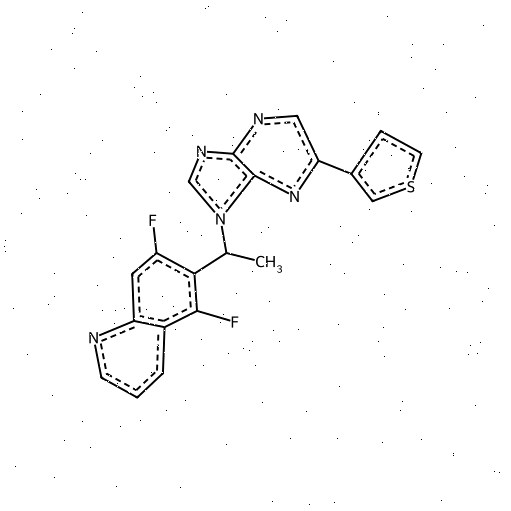 CC(c1c(F)cc2ncccc2c1F)n1cnc2ncc(-c3ccsc3)nc21